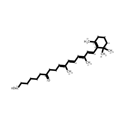 CCCCCCCCCCCCCCCC(=O)CC/C=C(C)/C=C/C=C(C)/C=C/C1=C(C)CCCC1(C)C